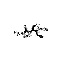 Cn1nnn(-c2cnn(C(C)(C)C)c2CBr)c1=O